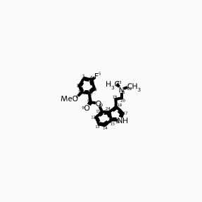 COc1ccc(F)cc1C(=O)Oc1cccc2[nH]cc(CCN(C)C)c12